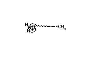 CCCCCCCCCCCCCCCCCCSC(=S)SC(C)(C#N)CCC(=O)O